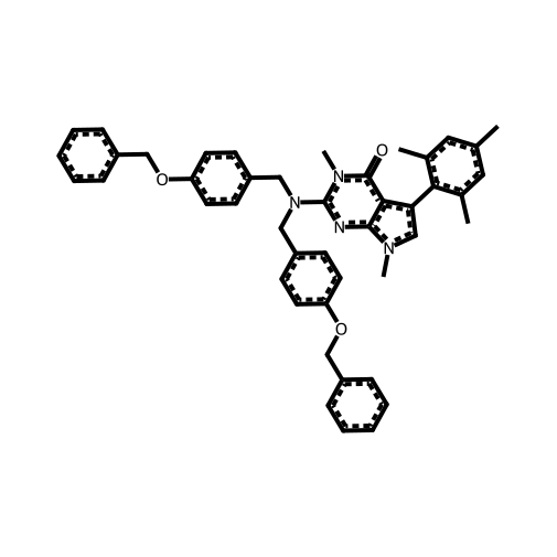 Cc1cc(C)c(-c2cn(C)c3nc(N(Cc4ccc(OCc5ccccc5)cc4)Cc4ccc(OCc5ccccc5)cc4)n(C)c(=O)c23)c(C)c1